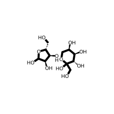 OCC1(O)OC[C@@H](O)[C@@H](O)[C@@H]1O.OC[C@H]1OC(O)[C@H](O)[C@@H]1O